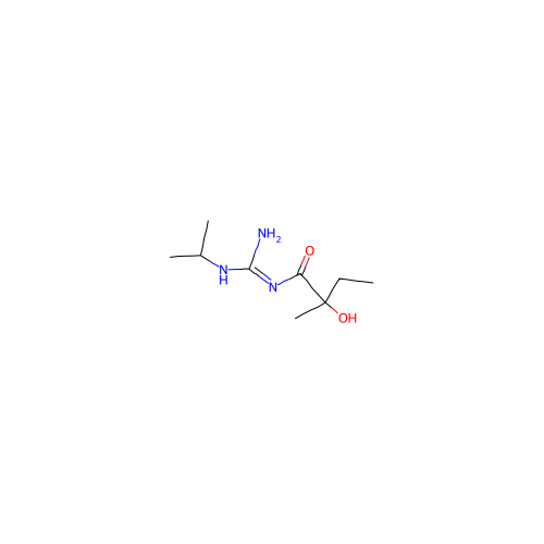 CCC(C)(O)C(=O)/N=C(\N)NC(C)C